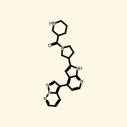 O=C(C1CCCNC1)N1CCC(c2cc3c(-c4cnn5ncccc45)ccnc3[nH]2)C1